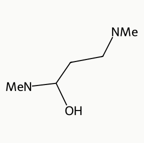 CNCCC(O)NC